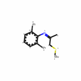 CC(CSC(C)(C)C)=Nc1c(C(C)C)cccc1C(C)C